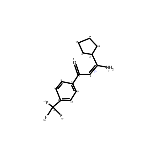 N/C(=C/C(=O)c1ccc(C(F)(F)F)cc1)C1CCCC1